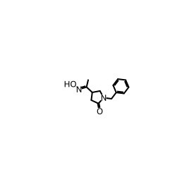 CC(=NO)C1CC(=O)N(Cc2ccccc2)C1